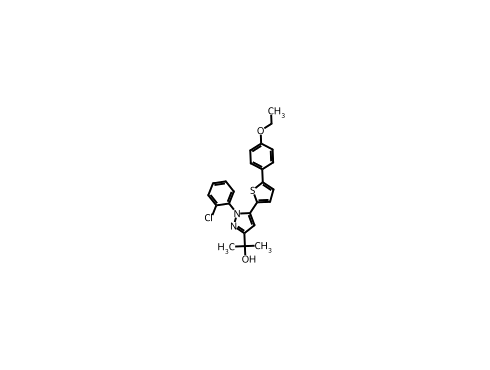 CCOc1ccc(-c2ccc(-c3cc(C(C)(C)O)nn3-c3ccccc3Cl)s2)cc1